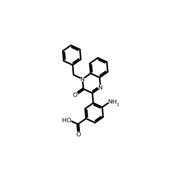 Nc1ccc(C(=O)O)cc1-c1nc2ccccc2n(Cc2ccccc2)c1=O